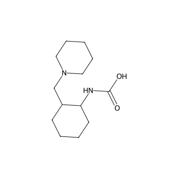 O=C(O)NC1CCCCC1CN1CCCCC1